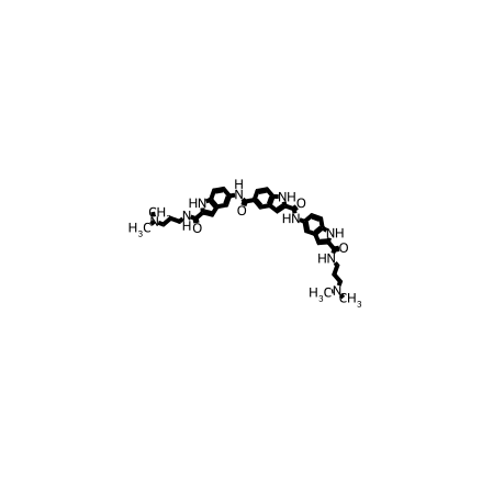 CN(C)CCCNC(=O)c1cc2cc(NC(=O)c3ccc4[nH]c(C(=O)Nc5ccc6[nH]c(C(=O)NCCCN(C)C)cc6c5)cc4c3)ccc2[nH]1